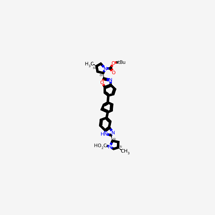 C[C@H]1C[C@@H](c2nc3cc(-c4ccc(-c5ccc6nc([C@@H]7C[C@H](C)CN7C(=O)OC(C)(C)C)oc6c5)cc4)ccc3[nH]2)N(C(=O)O)C1